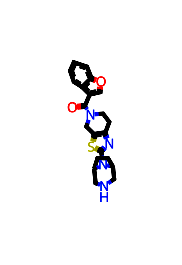 O=C(c1coc2ccccc12)N1CCc2nc(N3C4CCC3CNC4)sc2C1